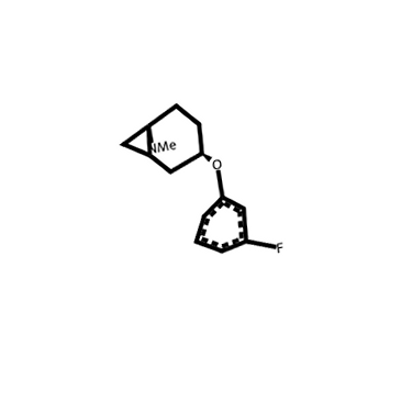 CNC12CC[C@@H](Oc3cccc(F)c3)CC1C2